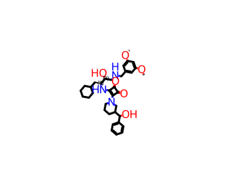 COc1cc(CNC[C@@H](O)[C@H](CC2CCCCC2)Nc2c(N3CCCC(C(O)c4ccccc4)C3)c(=O)c2=O)cc(OC)c1